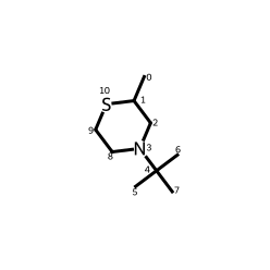 CC1CN(C(C)(C)C)CCS1